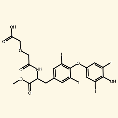 COC(=O)C(Cc1cc(I)c(Oc2cc(I)c(O)c(I)c2)c(I)c1)NC(=O)COCC(=O)O